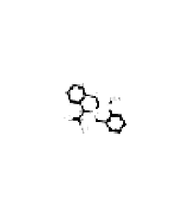 CC(C)(C)Sc1ccccc1CN1CCc2c[c]ccc2C1C(N)=O